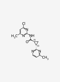 Cc1cc(Cl)nc(NC(=O)[C@H]2C[C@@H]2c2nccc(C)n2)n1